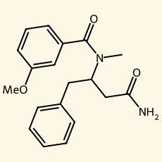 COc1cccc(C(=O)N(C)C(CC(N)=O)Cc2ccccc2)c1